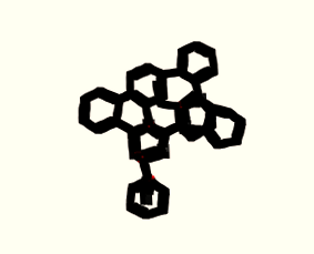 CCc1nc2ccccc2n1-c1ccccc1-c1ccc(-c2ccccc2-c2nc(-c3ccccc3)nc(-c3ccccc3)n2)c(-c2ccc(C#N)cc2)c1